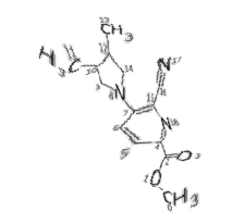 COC(=O)c1ccc(N2CC(C)C(C)C2)c(C#N)n1